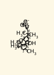 CC1=CC[C@@H]2[C@@H](C1)c1c(O)cc(C(C)(C)CCO[N+](=O)[O-])cc1OC2(C)C